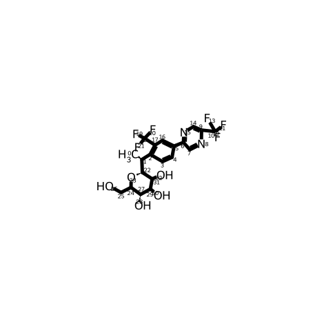 C[C@H](c1ccc(-c2cnc(C(F)(F)F)cn2)cc1C(F)(F)F)[C@H]1OC(CO)[C@@H](O)C(O)C1O